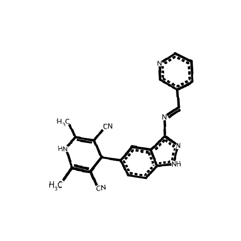 CC1=C(C#N)C(c2ccc3[nH]nc(/N=C/c4cccnc4)c3c2)C(C#N)=C(C)N1